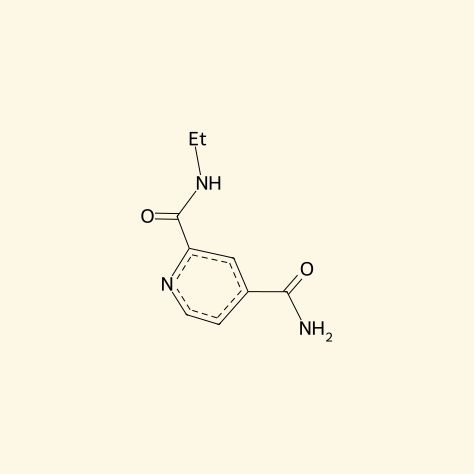 CCNC(=O)c1cc(C(N)=O)ccn1